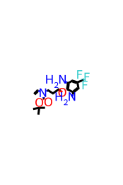 C=CN(CCCOc1c(N)cc(C(F)(F)F)cc1N)C(=O)OC(C)(C)C